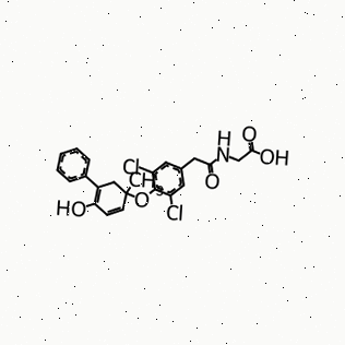 CC1(Oc2c(Cl)cc(CC(=O)NCC(=O)O)cc2Cl)C=CC(O)=C(c2ccccc2)C1